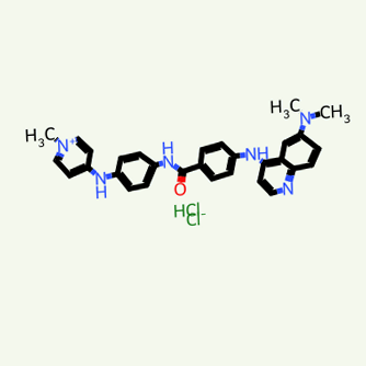 CN(C)c1ccc2nccc(Nc3ccc(C(=O)Nc4ccc(Nc5cc[n+](C)cc5)cc4)cc3)c2c1.Cl.[Cl-]